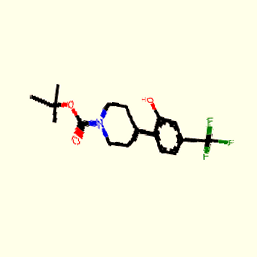 CC(C)(C)OC(=O)N1CCC(c2ccc(C(F)(F)F)cc2O)CC1